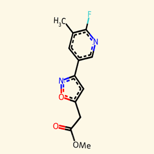 COC(=O)Cc1cc(-c2cnc(F)c(C)c2)no1